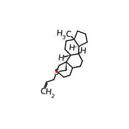 C=CCSC[C@]12CCCCC1CC[C@@H]1[C@H]2CC[C@]2(C)CCC[C@@H]12